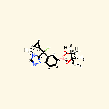 Cn1cnnc1C(F)(c1cccc(B2OC(C)(C)C(C)(C)O2)c1)C1CC1